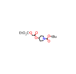 CCOC(=O)OCC(=O)OC1CCN(C(=O)OC(C)(C)C)CC1